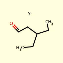 CCC(CC)CC=O.[Y]